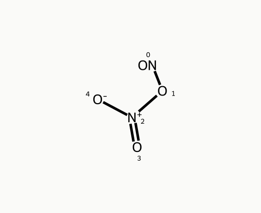 O=NO[N+](=O)[O-]